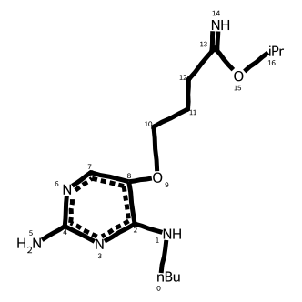 CCCCNc1nc(N)ncc1OCCCC(=N)OC(C)C